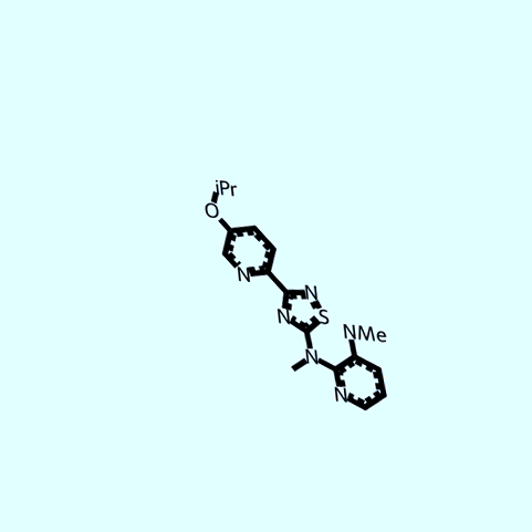 CNc1cccnc1N(C)c1nc(-c2ccc(OC(C)C)cn2)ns1